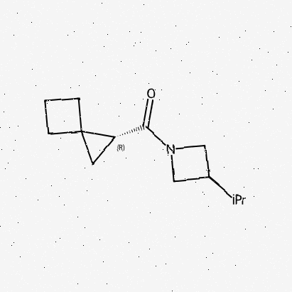 CC(C)C1CN(C(=O)[C@@H]2CC23CCC3)C1